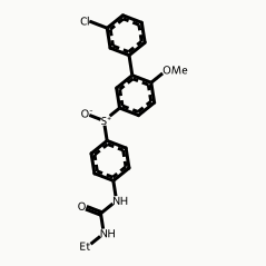 CCNC(=O)Nc1ccc([S+]([O-])c2ccc(OC)c(-c3cccc(Cl)c3)c2)cc1